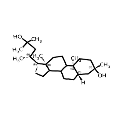 C[C@H](CC(C)(C)O)[C@H]1CCC2C3CC[C@H]4C[C@@](C)(O)CC[C@]4(C)C3CC[C@@]21C